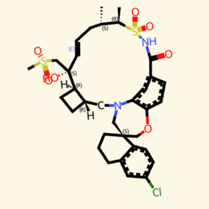 C[C@@H]1[C@@H](C)C/C=C/[C@](O)(CS(C)(=O)=O)[C@@H]2CC[C@H]2CN2C[C@@]3(CCCc4cc(Cl)ccc43)COc3ccc(cc32)C(=O)NS1(=O)=O